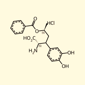 C[C@@H](CC(c1ccc(O)c(O)c1)[C@H](N)C(=O)O)OC(=O)c1ccccc1.Cl